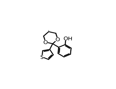 Oc1ccccc1C1(c2ccsc2)OC[CH]CO1